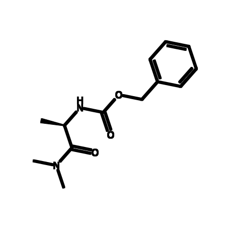 C[C@@H](NC(=O)OCc1ccccc1)C(=O)N(C)C